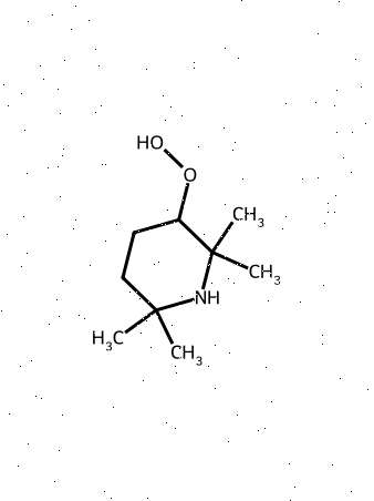 CC1(C)CCC(OO)C(C)(C)N1